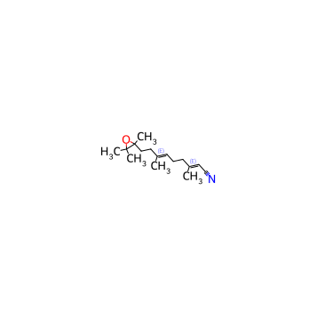 C/C(=C\C#N)CC/C=C(\C)CCC1(C)OC1(C)C